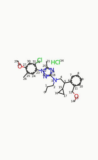 CCCN(CC(c1ccccc1COC)C1CC1)c1nc(C)n(-c2cc(C)c(OC)cc2Cl)n1.Cl